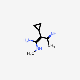 CN/C(N)=C(\C(C)=N)C1CC1